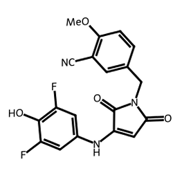 COc1ccc(CN2C(=O)C=C(Nc3cc(F)c(O)c(F)c3)C2=O)cc1C#N